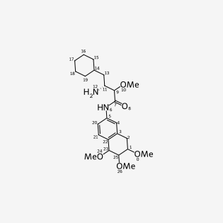 COC1Cc2cc(NC(=O)C(OC)[C@H](N)CC3CCCCC3)ccc2C(OC)C1OC